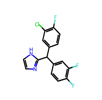 Fc1ccc(C(c2ccc(F)c(Cl)c2)c2ncc[nH]2)cc1F